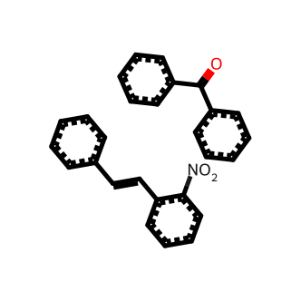 O=C(c1ccccc1)c1ccccc1.O=[N+]([O-])c1ccccc1C=Cc1ccccc1